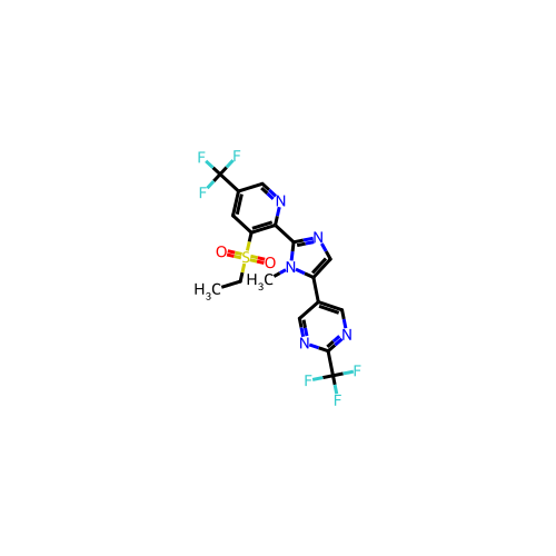 CCS(=O)(=O)c1cc(C(F)(F)F)cnc1-c1ncc(-c2cnc(C(F)(F)F)nc2)n1C